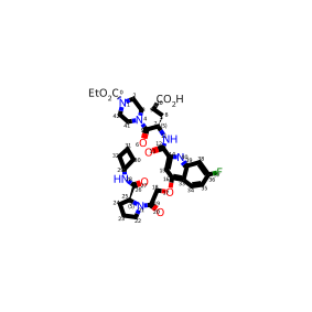 CCOC(=O)N1CCN(C(=O)[C@H](CCC(=O)O)NC(=O)c2cc(OCC(=O)N3CCC[C@H]3C(=O)NC3CCC3)c3ccc(F)cc3n2)CC1